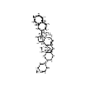 C[C@@]12CC=C3C=C4CC[C@@H](N5CCNCC5)C[C@]45CC[C@]3(O5)[C@@H]1CCC2c1ccc2ccncc2c1